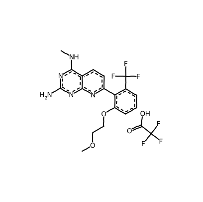 CNc1nc(N)nc2nc(-c3c(OCCOC)cccc3C(F)(F)F)ccc12.O=C(O)C(F)(F)F